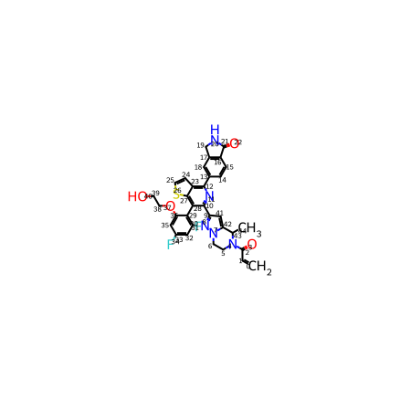 C=CC(=O)N1CCn2nc(-c3nc(-c4ccc5c(c4)CNC5=O)c4ccsc4c3-c3c(F)cc(F)cc3OCCO)cc2C1C